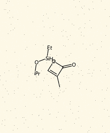 CC1=COC1=O.CC[SiH2]OC(C)C